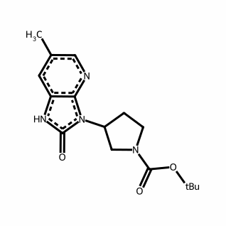 Cc1cnc2c(c1)[nH]c(=O)n2C1CCN(C(=O)OC(C)(C)C)C1